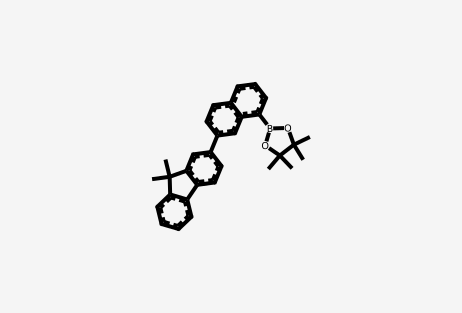 CC1(C)c2ccccc2-c2ccc(-c3ccc4cccc(B5OC(C)(C)C(C)(C)O5)c4c3)cc21